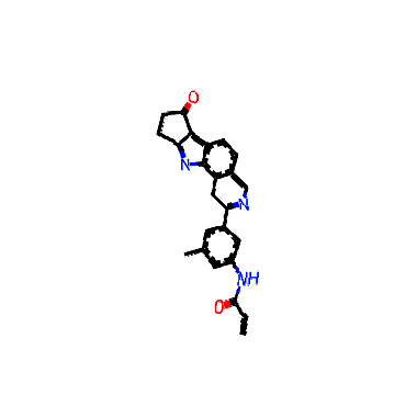 C=CC(=O)Nc1cc(C)cc(C2=NC=c3ccc4c(c3C2)N=C2CCC(=O)C=42)c1